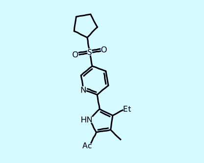 CCc1c(-c2ccc(S(=O)(=O)C3CCCC3)cn2)[nH]c(C(C)=O)c1C